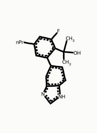 CCCc1cc(F)c(C(C)(C)O)c(-c2ccc3[nH]cnc3c2)c1